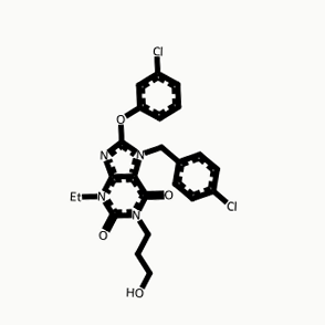 CCn1c(=O)n(CCCO)c(=O)c2c1nc(Oc1cccc(Cl)c1)n2Cc1ccc(Cl)cc1